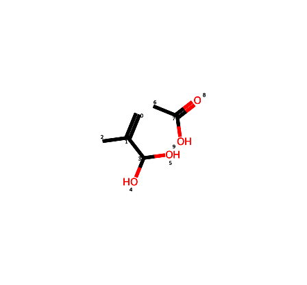 C=C(C)C(O)O.CC(=O)O